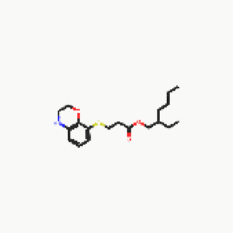 CCCCC(CC)COC(=O)CCSc1cccc2c1OCCN2